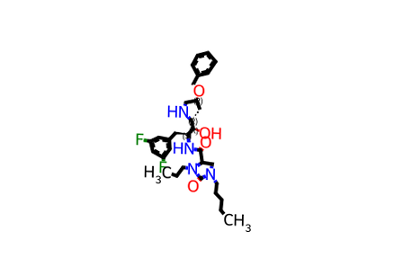 CCCCCN1CC(C(=O)N[C@@H](Cc2cc(F)cc(F)c2)[C@H](O)[C@H]2C[C@@H](OCc3ccccc3)CN2)N(CCC)C1=O